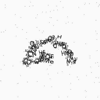 C=N[C@@H]1CC(F)(F)CN1C(=O)[C@H](C)NC(=O)c1ccnc(CNC(=O)CCC(=O)NC(CSSCCOC(=O)OCc2ccc(-c3ccnc4ccc(-c5cnc(OC)c(NS(=O)(=O)c6ccc(F)cc6F)c5)cc34)cn2)C(=O)O)c1